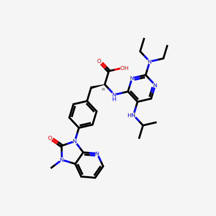 CCN(CC)c1ncc(NC(C)C)c(N[C@@H](Cc2ccc(-n3c(=O)n(C)c4cccnc43)cc2)C(=O)O)n1